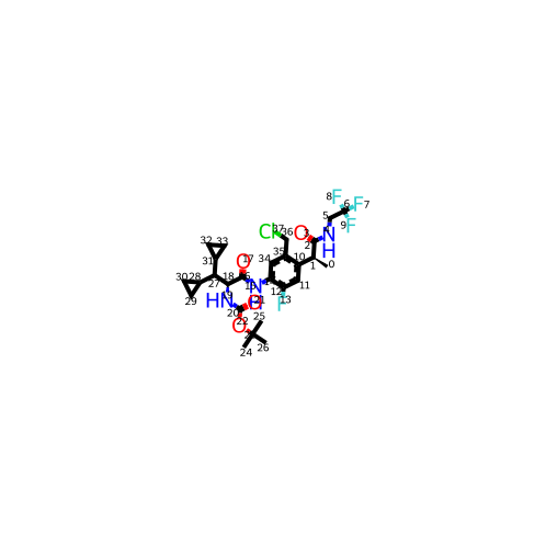 C[C@H](C(=O)NCC(F)(F)F)c1cc(F)c(NC(=O)[C@@H](NC(=O)OC(C)(C)C)C(C2CC2)C2CC2)cc1CCl